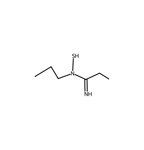 CCCN(S)C(=N)CC